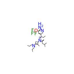 C=C(CC(C)C)N(/C=C(\CC)c1cnc(N)c(OC(F)(F)F)c1)C1CC(N(CCC)CCC)=C1C